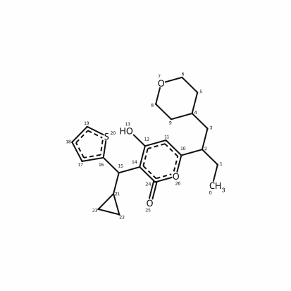 CCC(CC1CCOCC1)c1cc(O)c(C(c2cccs2)C2CC2)c(=O)o1